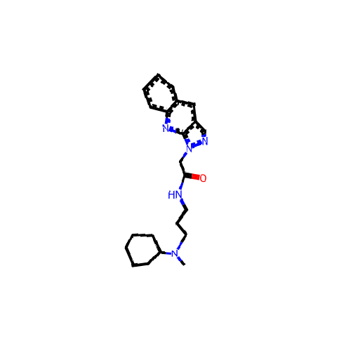 CN(CCCNC(=O)Cn1ncc2cc3ccccc3nc21)C1CCCCC1